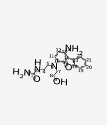 NC(=O)NCCN(CCO)c1ccc(N)c2c1oc1ccccc12